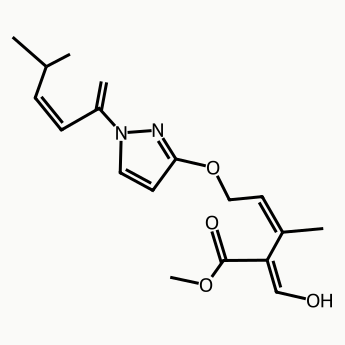 C=C(/C=C\C(C)C)n1ccc(OC/C=C(C)\C(=C/O)C(=O)OC)n1